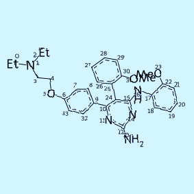 CCN(CC)CCOc1ccc(-c2nc(N)nc(Nc3ccccc3OC)c2-c2ccccc2OC)cc1